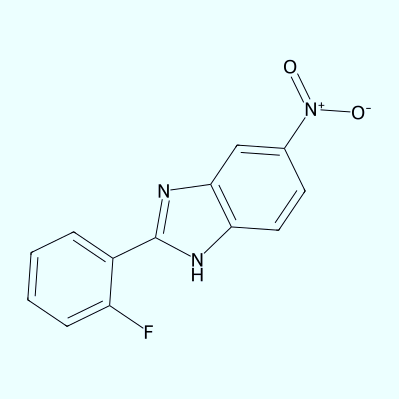 O=[N+]([O-])c1ccc2[nH]c(-c3ccccc3F)nc2c1